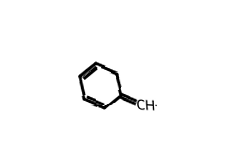 [CH]=C1C=CC=CC1